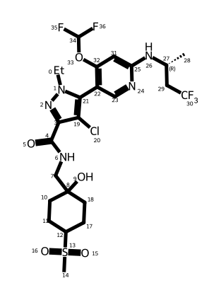 CCn1nc(C(=O)NCC2(O)CCC(S(C)(=O)=O)CC2)c(Cl)c1-c1cnc(N[C@H](C)CC(F)(F)F)cc1OC(F)F